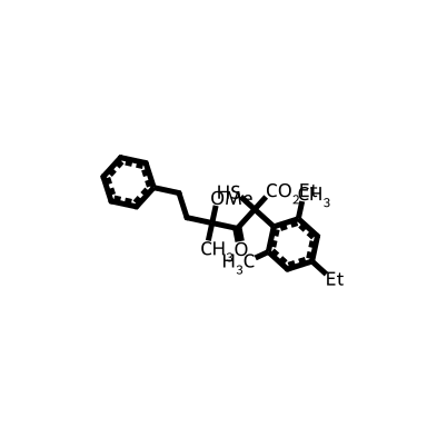 CCOC(=O)C(S)(C(=O)C(C)(CCc1ccccc1)OC)c1c(C)cc(CC)cc1C